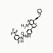 Nc1ncc(C#CCN2CCCC2)c2scc(-c3ccc(NC(=O)Nc4cc(C(F)(F)F)ccc4F)cc3)c12